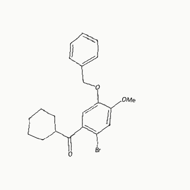 COc1cc(Br)c(C(=O)C2CCCCC2)cc1OCc1ccccc1